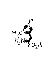 N[C@@H](Cc1cn(Cl)cn1)C(=O)O.O